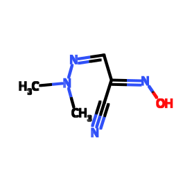 CN(C)/N=C\C(C#N)=N\O